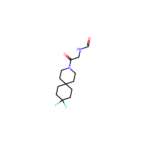 O=CNCC(=O)N1CCC2(CC1)CCC(F)(F)CC2